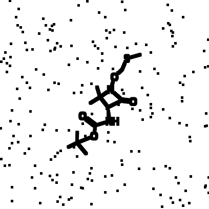 CSCON1C(=O)[C@@H](NC(=O)OC(C)(C)C)C1(C)C